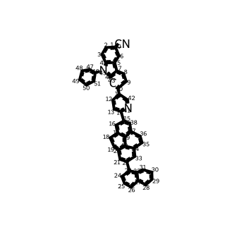 N#Cc1ccc2c(c1)c1ccc(-c3ccc(-c4cc5ccc6cc(-c7cccc8ccccc78)cc7ccc(c4)c5c67)nc3)cc1n2-c1ccccc1